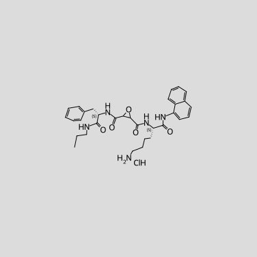 CCCNC(=O)[C@H](Cc1ccccc1)NC(=O)C1OC1C(=O)N[C@@H](CCCCN)C(=O)Nc1cccc2ccccc12.Cl